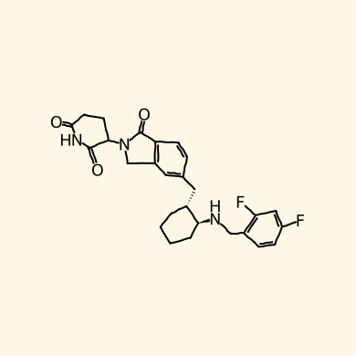 O=C1CCC(N2Cc3cc(C[C@H]4CCCC[C@@H]4NCc4ccc(F)cc4F)ccc3C2=O)C(=O)N1